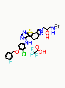 CCNC[C@@H](O)Cn1cc2c(n1)CCc1c-2sc2ncnc(Nc3ccc(OCc4cccc(F)c4)c(Cl)c3)c12.O=C(O)C(F)(F)F